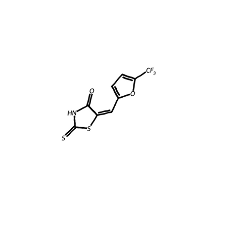 O=C1NC(=S)S/C1=C/c1ccc(C(F)(F)F)o1